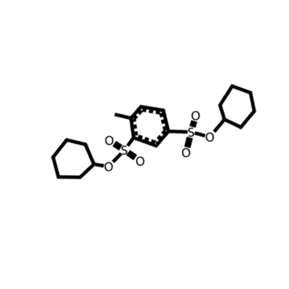 Cc1ccc(S(=O)(=O)OC2CCCCC2)cc1S(=O)(=O)OC1CCCCC1